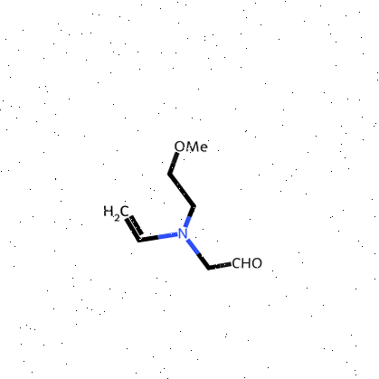 C=CN(CC=O)CCOC